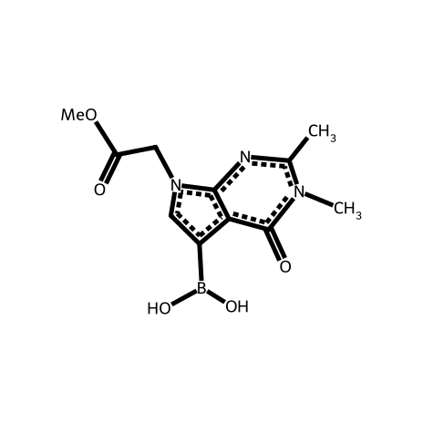 COC(=O)Cn1cc(B(O)O)c2c(=O)n(C)c(C)nc21